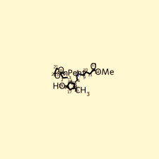 CCCCCC1(CC[C@@H]2[C@@H](C/C=C\CCCC(=O)OC)[C@@H](C)C[C@H]2O)OCCO1